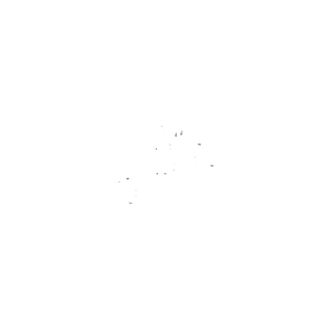 Oc1ccccc1/C(=C/SCc1ccccc1)c1ncc[nH]1